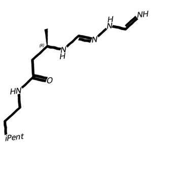 CCCC(C)CCNC(=O)C[C@@H](C)NC=NNC=N